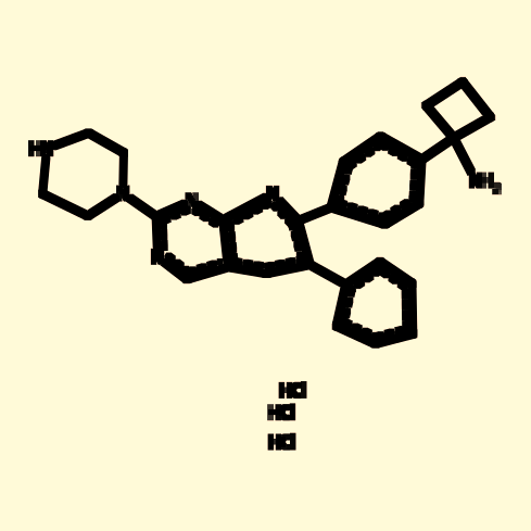 Cl.Cl.Cl.NC1(c2ccc(-c3nc4nc(N5CCNCC5)ncc4cc3-c3ccccc3)cc2)CCC1